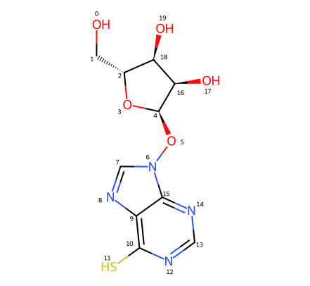 OC[C@H]1O[C@H](On2cnc3c(S)ncnc32)[C@H](O)[C@@H]1O